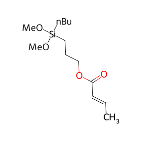 CC=CC(=O)OCCC[Si](CCCC)(OC)OC